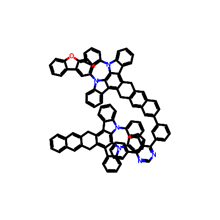 c1ccc(-c2ncnc(-c3cccc(-c4ccc5cc6c(cc5c4)Cc4c(c5c7ccccc7n(-c7ccccc7)c5c5c4c4ccccc4n5-c4ccc5oc7ccccc7c5c4)C6)c3)c2-c2cccc(-n3c4ccccc4c4c5c(c6c7ccccc7n(-c7ccccc7)c6c43)Cc3cc4ccccc4cc3C5)c2)cc1